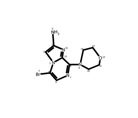 Nc1cn2c(Br)cnc(N3CCOCC3)c2n1